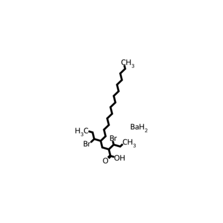 CCCCCCCCCCCCCCC(CC(C(=O)O)C(Br)CC)C(Br)CC.[BaH2]